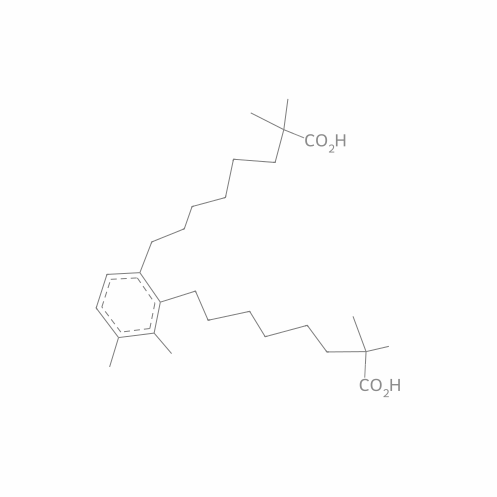 Cc1ccc(CCCCCCC(C)(C)C(=O)O)c(CCCCCCC(C)(C)C(=O)O)c1C